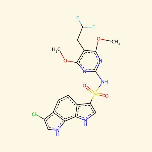 COc1nc(NS(=O)(=O)c2c[nH]c3c2ccc2c(Cl)c[nH]c23)nc(OC)c1CC(F)F